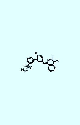 CS(=O)(=O)c1cccc(-c2cc(Cc3n[nH]c(=O)c4c3CCCC4)ccc2F)c1